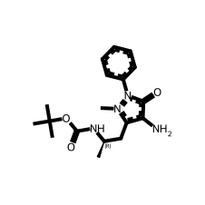 C[C@H](Cc1c(N)c(=O)n(-c2ccccc2)n1C)NC(=O)OC(C)(C)C